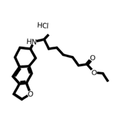 CCOC(=O)CCCCCC(C)NC1CCc2cc3c(cc2C1)OCC3.Cl